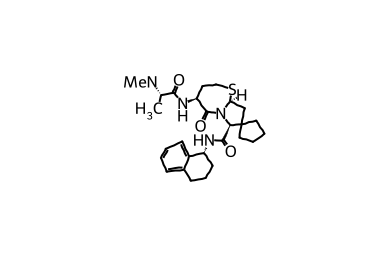 CN[C@@H](C)C(=O)N[C@H]1CCS[C@H]2CC3(CCCC3)[C@@H](C(=O)N[C@@H]3CCCc4ccccc43)N2C1=O